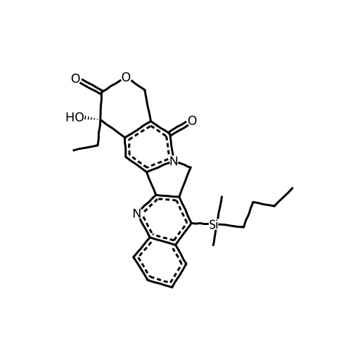 CCCC[Si](C)(C)c1c2c(nc3ccccc13)-c1cc3c(c(=O)n1C2)COC(=O)[C@]3(O)CC